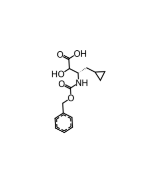 O=C(N[C@@H](CC1CC1)C(O)C(=O)O)OCc1ccccc1